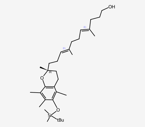 C/C(=C\CC[C@]1(C)CCc2c(C)c(O[Si](C)(C)C(C)(C)C)c(C)c(C)c2O1)CC/C=C(\C)CCCO